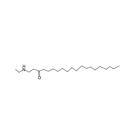 CCCCCCCCCCCCCCCCCC(=O)CCNCC